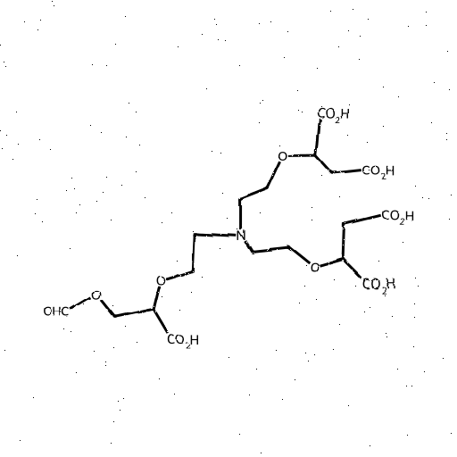 O=COCC(OCCN(CCOC(CC(=O)O)C(=O)O)CCOC(CC(=O)O)C(=O)O)C(=O)O